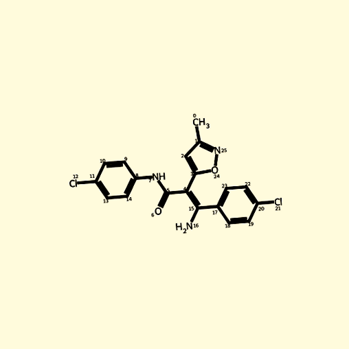 Cc1cc(C(C(=O)Nc2ccc(Cl)cc2)=C(N)c2ccc(Cl)cc2)on1